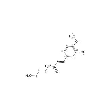 CCCCNC(=O)C=Cc1ccc(OC)c(O)c1